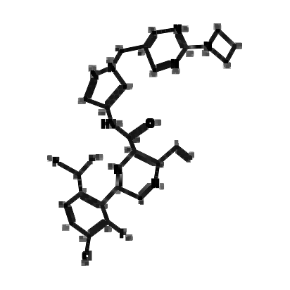 C=Cc1ncc(-c2c(C(F)F)ccc(Cl)c2F)nc1C(=O)Nc1cnn(Cc2cnc(N3CCC3)nc2)c1